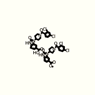 COC(=O)c1ccc2[nH]c(=O)n(C3CCN(C(=O)c4ccc(Cl)cc4Cl)CC3)c2c1.O=C(O)c1ccc2[nH]c(=O)n(C3CCN(C(=O)c4ccc(Cl)cc4Cl)CC3)c2c1